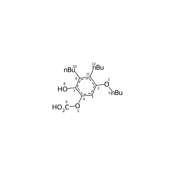 CCCCOc1cc(OC(=O)O)c(O)c(CCCC)c1CCCC